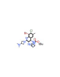 Cc1cc2c(NC3C4CC3N(C(=O)OC(C)(C)C)C4)c(N)c(N3CC(N(C)C)C3)nc2c(Br)c1Cl